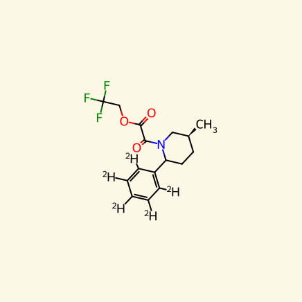 [2H]c1c([2H])c([2H])c(C2CC[C@H](C)CN2C(=O)C(=O)OCC(F)(F)F)c([2H])c1[2H]